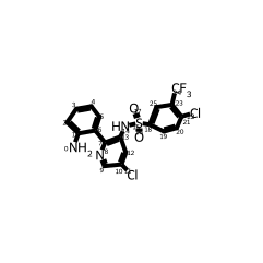 Nc1ccccc1-c1ncc(Cl)cc1NS(=O)(=O)c1ccc(Cl)c(C(F)(F)F)c1